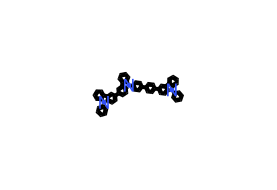 c1ccc(-n2c3ccccc3c3cc(-c4ccc(-c5ccc(-n6c7ccccc7c7cc(-c8ccc9c(c8)c8ccccc8n9-c8ccccc8)ccc76)cc5)cc4)ccc32)cc1